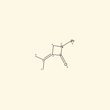 CC(C)=C1CN(C(C)C)C1=O